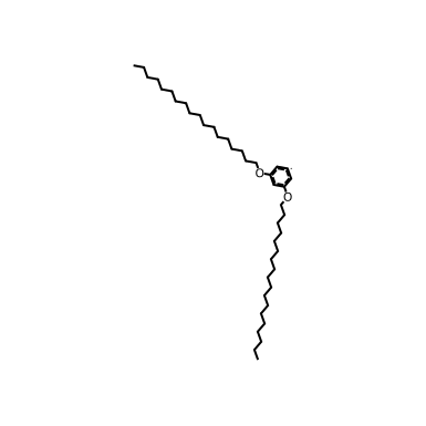 CCCCCCCCCCCCCCCCCCOc1c[c]cc(OCCCCCCCCCCCCCCCCCC)c1